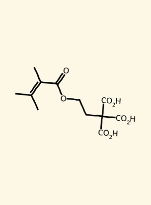 CC(C)=C(C)C(=O)OCCC(C(=O)O)(C(=O)O)C(=O)O